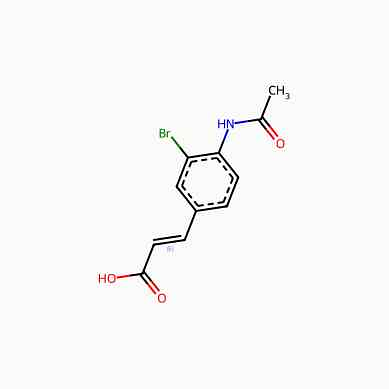 CC(=O)Nc1ccc(/C=C/C(=O)O)cc1Br